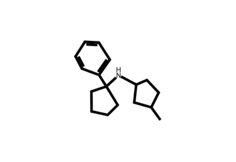 CC1CCC(NC2(c3ccccc3)CCCC2)C1